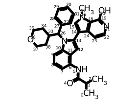 CC(C)C(=O)Nc1cccc2c1cc(-c1cn(C)c3c(O)nccc13)n2C(c1ccccc1)C1CCOCC1